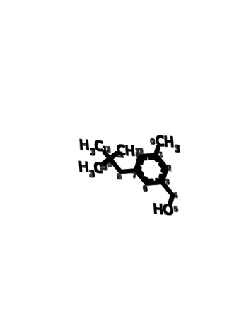 Cc1cc(CO)cc(CC(C)(C)C)c1